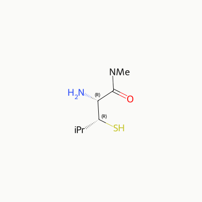 CNC(=O)[C@@H](N)[C@H](S)C(C)C